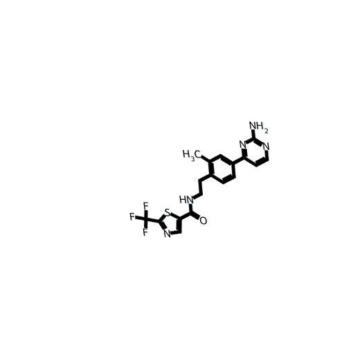 Cc1cc(-c2ccnc(N)n2)ccc1CCNC(=O)c1cnc(C(F)(F)F)s1